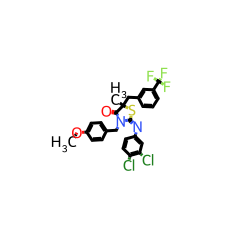 COc1ccc(CN2C(=O)C(C)(Cc3cccc(C(F)(F)F)c3)S/C2=N/c2ccc(Cl)c(Cl)c2)cc1